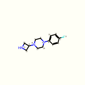 Fc1ccc(N2CCN(C3CNC3)CC2)cc1